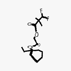 CCC1(OC(=O)COC(=O)C(C)(C)C(F)F)CCCCC1